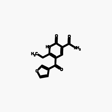 CCc1[nH]c(=O)c(C(N)=O)cc1C(=O)c1ccoc1